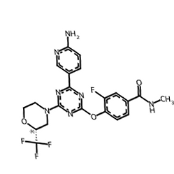 CNC(=O)c1ccc(Oc2nc(-c3ccc(N)nc3)nc(N3CCO[C@@H](C(F)(F)F)C3)n2)c(F)c1